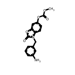 COC(=O)Oc1ccc2c(c1)oc(=O)n2Cc1cccc(N)c1